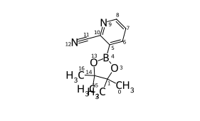 CC1(C)OB(c2cccnc2C#N)OC1(C)C